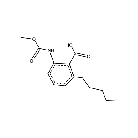 CCCCCc1cccc(NC(=O)OC)c1C(=O)O